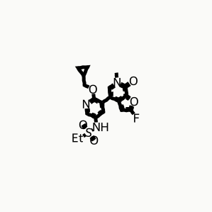 CCS(=O)(=O)Nc1cnc(OCC2CC2)c(-c2cn(C)c(=O)c3oc(F)cc23)c1